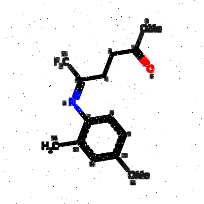 COC(=O)CCC(=Nc1ccc(OC)cc1C)C(F)(F)F